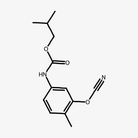 Cc1ccc(NC(=O)OCC(C)C)cc1OC#N